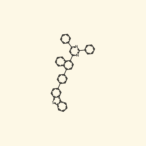 c1ccc(-c2cc(-c3ccc(-c4ccc(-c5ccc6sc7ccccc7c6c5)cc4)c4ccccc34)nc(-c3ccccc3)n2)cc1